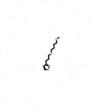 COCCCCOCCCc1ccon1